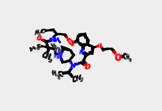 CC[C@@H](COc1cccc2c(OCCOC)cc(C(=O)N(C(C)C)[C@@H]3CCCNC3)nc12)NC(=O)C(C)(C)C